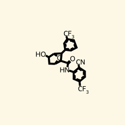 N#Cc1ccc(C(F)(F)F)cc1NC(=O)C1C2CC(O)C(O2)C1c1cccc(C(F)(F)F)c1